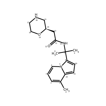 Cc1cccn2c(C(C)(C)NC(=O)C[C@@H]3CNCCO3)ccc12